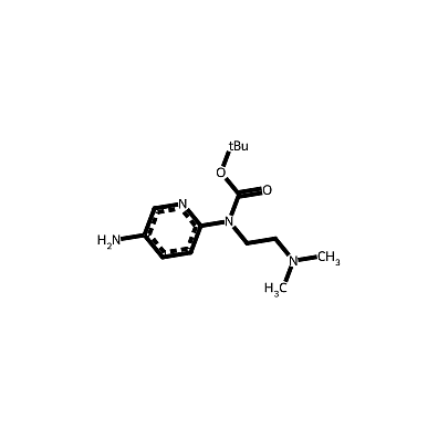 CN(C)CCN(C(=O)OC(C)(C)C)c1ccc(N)cn1